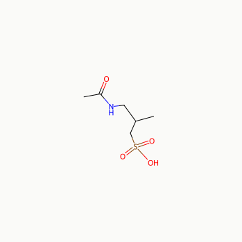 CC(=O)NCC(C)CS(=O)(=O)O